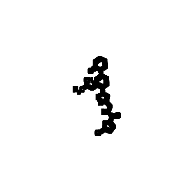 CN(C)Cc1cc(-n2ccccc2=O)ccc1-n1cc(CNC(=O)c2ccc(Cl)s2)nn1